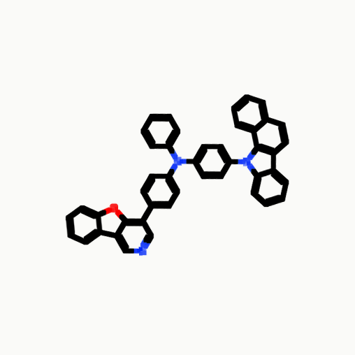 c1ccc(N(c2ccc(-c3cncc4c3oc3ccccc34)cc2)c2ccc(-n3c4ccccc4c4ccc5ccccc5c43)cc2)cc1